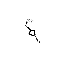 [CH2]CN1CC(OC(=O)O)C1